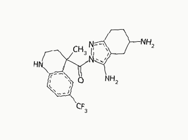 CC1(C(=O)n2nc3c(c2N)CC(N)CC3)CCNc2ccc(C(F)(F)F)cc21